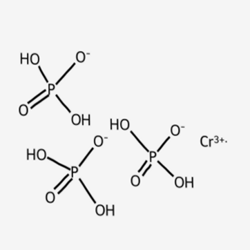 O=P([O-])(O)O.O=P([O-])(O)O.O=P([O-])(O)O.[Cr+3]